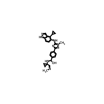 C/N=C\C1(NC(O)c2ccc(-c3nc(Nc4ccc5[nH]ncc5c4C4CC4)n(C)n3)cc2)CC1